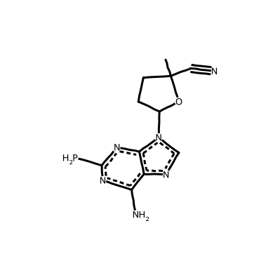 CC1(C#N)CCC(n2cnc3c(N)nc(P)nc32)O1